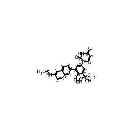 COc1c(-c2ccc3cc(NSC)ccc3c2)cc(-n2ccc(=O)[nH]c2=O)cc1C(C)(C)C